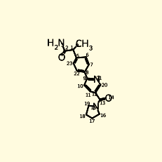 CC(C(N)=O)c1ccc(-c2ccc(C(=O)N3CCCC3)cn2)cc1